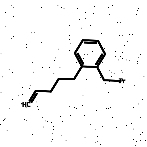 [CH]=CCCCc1ccccc1CC(C)C